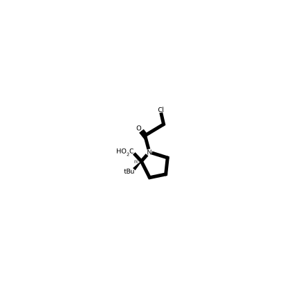 CC(C)(C)[C@]1(C(=O)O)CCCN1C(=O)CCl